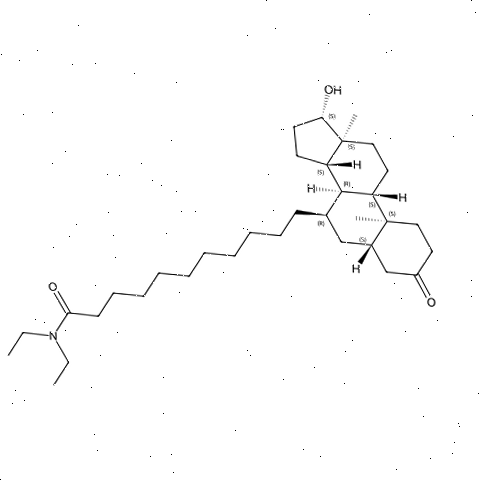 CCN(CC)C(=O)CCCCCCCCCC[C@@H]1C[C@H]2CC(=O)CC[C@]2(C)[C@H]2CC[C@]3(C)[C@@H](O)CC[C@H]3[C@H]12